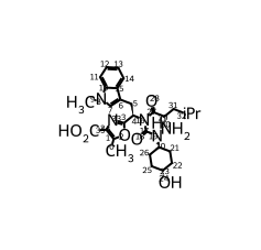 Cc1oc([C@@H](Cc2cn(C)c3ccccc23)N(C(=O)N[C@H]2CC[C@H](O)CC2)C(=O)[C@@H](N)CC(C)C)nc1C(=O)O